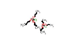 CCCCO[Si](Cl)(OCCCC)OCCCC.CCCO[Si](Cl)(OCCC)OCCC